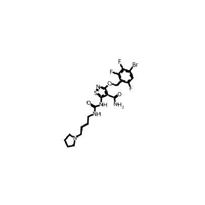 NC(=O)c1c(OCc2c(F)cc(Br)c(F)c2F)nsc1NC(=O)NCCCCN1CCCC1